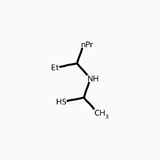 CCCC(CC)NC(C)S